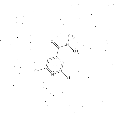 CN(C)C(=O)c1cc(Cl)nc(Cl)c1